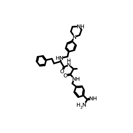 CC(NC(=O)C(CCc1ccccc1)NCc1ccc(N2CCNCC2)cc1)C(=O)NCc1ccc(C(=N)N)cc1